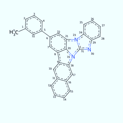 Cc1cccc(-c2cc3c4cc5ccccc5cc4n4c3c(c2)n2c3ccccc3nc24)c1